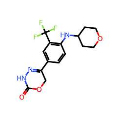 O=C1NN=C(c2ccc(NC3CCOCC3)c(C(F)(F)F)c2)CO1